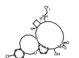 O=S1(=O)CCCCC[C@H](NCC(F)(F)F)[C@@H]2CC[C@H]2CN2CCCCc3cc(Cl)ccc3COc3ccc(cc32)C(O)N1